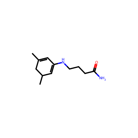 CC1=CC(NCCCC(N)=O)=CC(C)C1